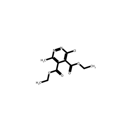 CCOC(=O)c1c(C)nnc(Cl)c1C(=O)OCC